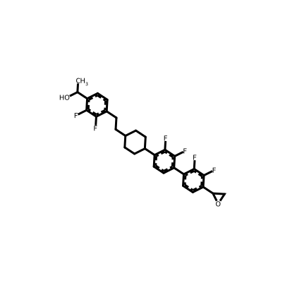 CC(O)c1ccc(CCC2CCC(c3ccc(-c4ccc(C5CO5)c(F)c4F)c(F)c3F)CC2)c(F)c1F